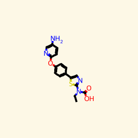 CCN(C(=O)O)c1ncc(-c2ccc(Oc3ccc(N)cn3)cc2)s1